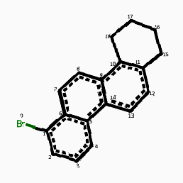 Brc1cccc2c1ccc1c3c(ccc12)CCCC3